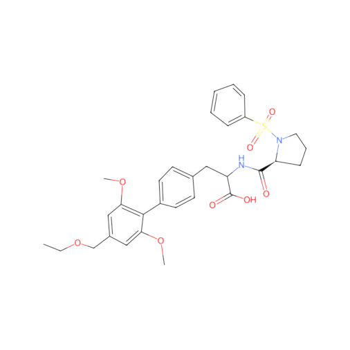 CCOCc1cc(OC)c(-c2ccc(CC(NC(=O)[C@@H]3CCCN3S(=O)(=O)c3ccccc3)C(=O)O)cc2)c(OC)c1